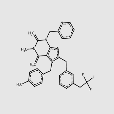 C=C1c2c(nc(Cc3cccc(CC(F)(F)F)c3)n2Cc2ccc(C)cc2)N(Cc2ccccn2)C(=C)N1C